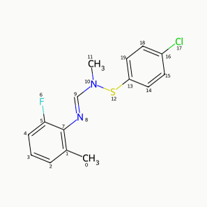 Cc1cccc(F)c1N=CN(C)Sc1ccc(Cl)cc1